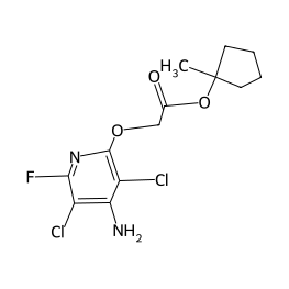 CC1(OC(=O)COc2nc(F)c(Cl)c(N)c2Cl)CCCC1